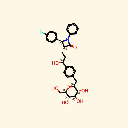 O=C1[C@H](CC[C@H](O)c2ccc(C[C@@H]3O[C@H](CO)[C@@H](O)[C@H](O)[C@@H]3O)cc2)[C@@H](c2ccc(F)cc2)N1c1ccccc1